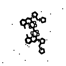 Cc1cccc2cc(N3CCCC3CN3CCCC3)c(=O)n(OC(=O)C(=O)On3c(=O)c(N4CCCC4CN4CCCC4)cc4cccc(C)c43)c12